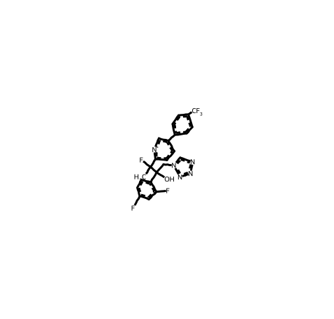 CC(F)(c1ccc(-c2ccc(C(F)(F)F)cc2)cn1)C(O)(Cn1cnnn1)c1ccc(F)cc1F